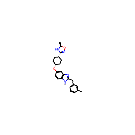 C=C1NC([C@H]2CC[C@@H](Oc3ccc4c(c3)nc(Cc3cccc(C)c3)n4C)CC2)=NO1